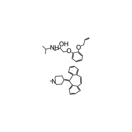 C=CCOc1ccccc1OCC(O)CNC(C)C.CN1CCC(=C2c3ccccc3C=Cc3ccccc32)CC1